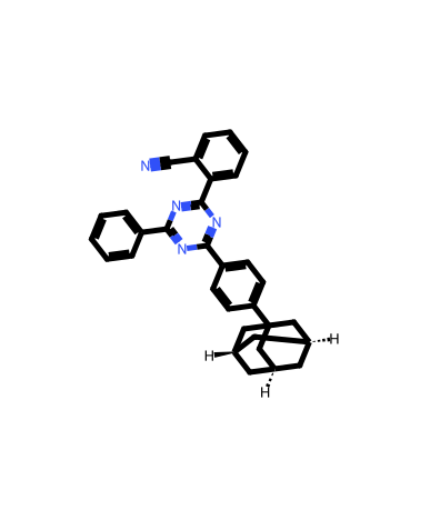 N#Cc1ccccc1-c1nc(-c2ccccc2)nc(-c2ccc(C34C[C@H]5C[C@H](C3)C[C@@H](C4)C5)cc2)n1